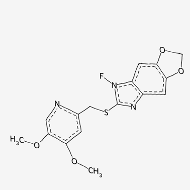 COc1cnc(CSc2nc3cc4c(cc3n2F)OCO4)cc1OC